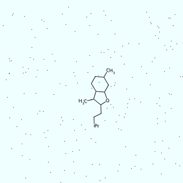 CC(C)CCC1OC2CC(C)CCC2C1C